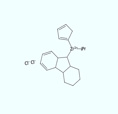 C[CH](C)[Zr+2]([C]1=CC=CC1)[CH]1C2C=CC=CC2C2CCCCC21.[Cl-].[Cl-]